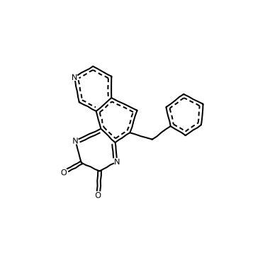 O=C1N=c2c(Cc3ccccc3)cc3ccncc3c2=NC1=O